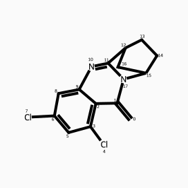 C=C1c2c(Cl)cc(Cl)cc2N=C2C3CCC(C3)N12